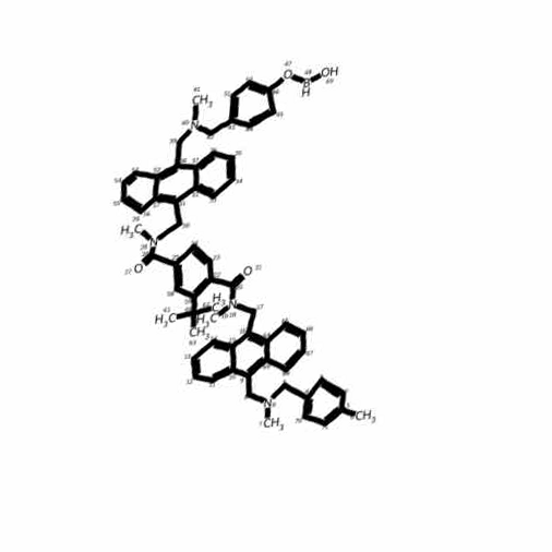 Cc1ccc(CN(C)Cc2c3ccccc3c(CN(C)C(=O)c3ccc(C(=O)N(C)Cc4c5ccccc5c(CN(C)Cc5ccc(OBO)cc5)c5ccccc45)cc3C(C)(C)C)c3ccccc23)cc1